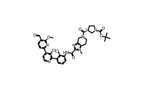 COc1nc(-c2ccnc(-c3cccc(NC(=O)c4nc5c(n4C)CCN(C(=O)[C@H]4CCN(C(=O)OC(C)(C)C)C4)C5)c3Cl)c2Cl)ccc1C=O